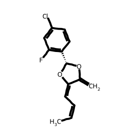 C=C1O[C@@H](c2ccc(Cl)cc2F)O/C1=C/C=C\C